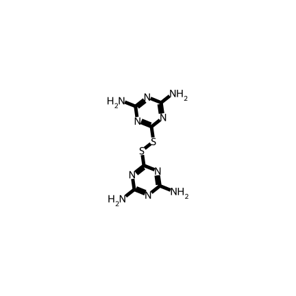 Nc1nc(N)nc(SSc2nc(N)nc(N)n2)n1